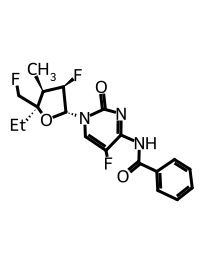 CC[C@@]1(CF)O[C@@H](n2cc(F)c(NC(=O)c3ccccc3)nc2=O)[C@H](F)[C@@H]1C